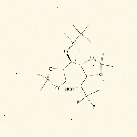 CC1(C)OCC([C@@H](O[Si](C)(C)C(C)(C)C)[C@@H]2OC(C)(C)O[C@@H]2[C@@H](O)C(F)(F)F)O1